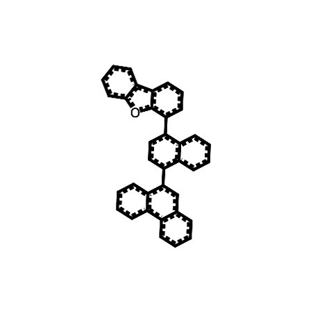 c1ccc2c(c1)cc(-c1ccc(-c3cccc4c3oc3ccccc34)c3ccccc13)c1ccccc12